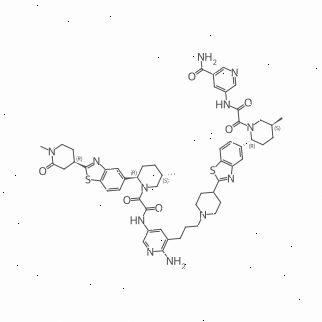 C[C@H]1CC[C@H](c2ccc3sc(C4CCN(CCCc5cc(NC(=O)C(=O)N6C[C@@H](C)CC[C@@H]6c6ccc7sc([C@@H]8CCN(C)C(=O)C8)nc7c6)cnc5N)CC4)nc3c2)N(C(=O)C(=O)Nc2cncc(C(N)=O)c2)C1